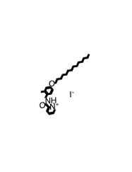 CCCCCCCCCCCCCCOc1ccc(CNC(=O)c2cccc[n+]2C)c(C)c1.[I-]